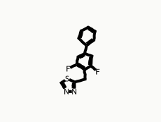 Fc1cc(-c2ccccc2)cc(F)c1Cc1nncs1